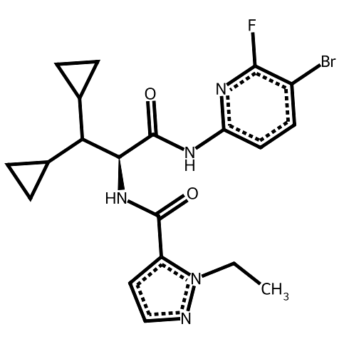 CCn1nccc1C(=O)N[C@H](C(=O)Nc1ccc(Br)c(F)n1)C(C1CC1)C1CC1